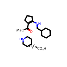 C1CCNCC1.CC(=O)O.COC(=O)C1=C(NCC2CCCCC2)CCC1